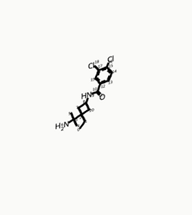 CCC1(C(C)(C)N)CC(NC(=O)c2ccc(Cl)c(Cl)c2)C1